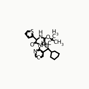 CC(C)(C)OC(=O)NC(C(=O)Nc1ncccc1C(=O)C1CCCCC1)c1cccs1